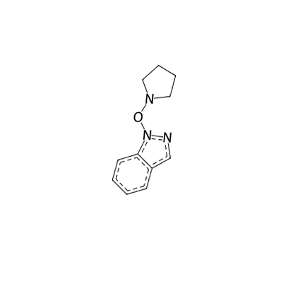 c1ccc2c(c1)cnn2ON1CCCC1